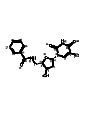 CCc1cn([C@@H]2CC(O)[C@H](CNC(=O)c3cccnc3)O2)c(=O)[nH]c1=O